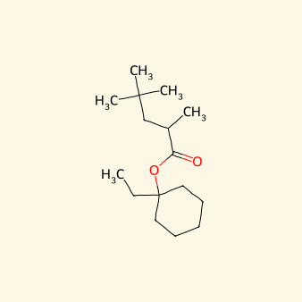 CCC1(OC(=O)C(C)CC(C)(C)C)CCCCC1